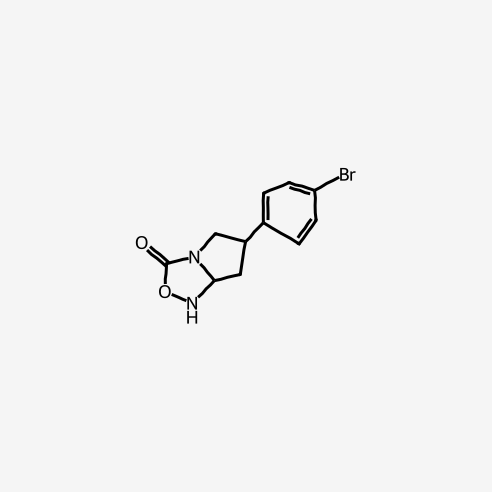 O=C1ONC2CC(c3ccc(Br)cc3)CN12